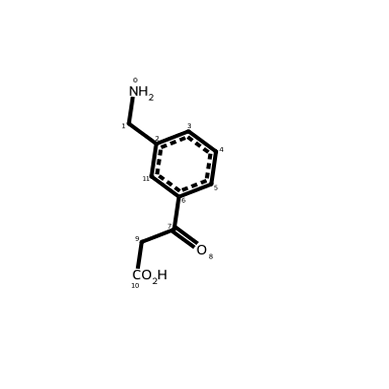 NCc1cccc(C(=O)CC(=O)O)c1